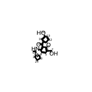 CC(Nc1ccc(CO)c2oc3ccc(O)cc3c(=O)c12)N1CCCC1